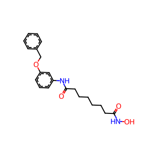 O=C(CCCCCCC(=O)Nc1cccc(OCc2ccccc2)c1)NO